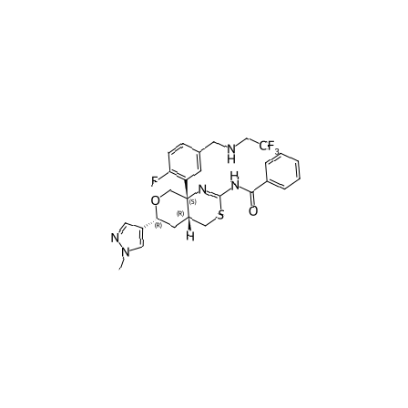 Cn1cc([C@H]2C[C@H]3CSC(NC(=O)c4ccccc4)=N[C@@]3(c3cc(CNCC(F)(F)F)ccc3F)CO2)cn1